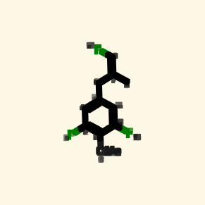 COc1c(F)cc(C/C(C)=C\F)cc1F